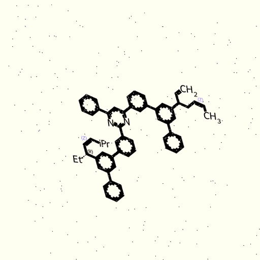 C=CC(C/C=C\C)c1cc(-c2ccccc2)cc(-c2cccc(-c3cc(-c4ccccc4)nc(-c4cccc(-c5cc(-c6ccccc6)cc([C@@H](/C=C\C(C)C)CC)c5)c4)n3)c2)c1